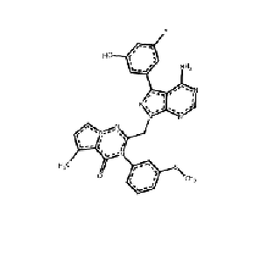 CSc1cccc(-n2c(Cn3nc(-c4cc(O)cc(F)c4)c4c(N)ncnc43)nn3ccc(C)c3c2=O)c1